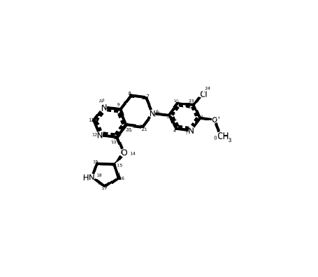 COc1ncc(N2CCc3ncnc(O[C@H]4CCNC4)c3C2)cc1Cl